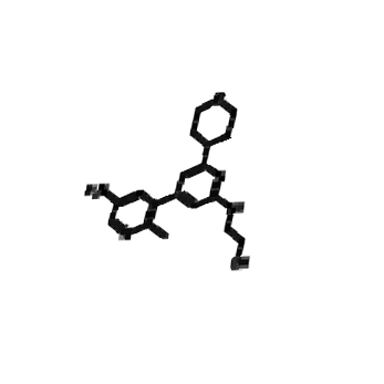 Cc1ncc(N)cc1-c1cc(NCCO)nc(C2CCOCC2)c1